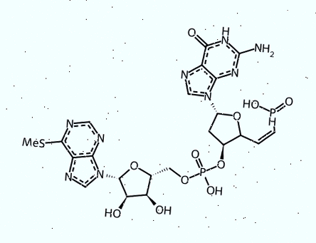 CSc1ncnc2c1ncn2[C@@H]1O[C@H](COP(=O)(O)O[C@H]2C[C@H](n3cnc4c(=O)[nH]c(N)nc43)OC2/C=C\[PH](=O)O)[C@@H](O)[C@H]1O